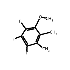 COc1c(C)c(C)c(F)c(F)c1F